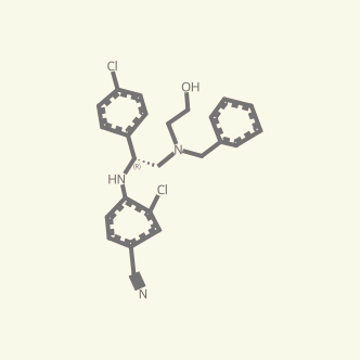 N#Cc1ccc(N[C@@H](CN(CCO)Cc2ccccc2)c2ccc(Cl)cc2)c(Cl)c1